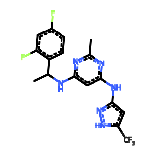 Cc1nc(Nc2cc(C(F)(F)F)[nH]n2)cc(NC(C)c2ccc(F)cc2F)n1